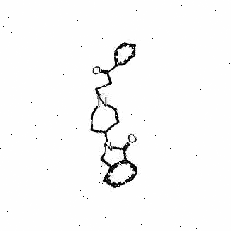 O=C(CCN1CCC(N2Cc3ccccc3C2=O)CC1)c1ccccc1